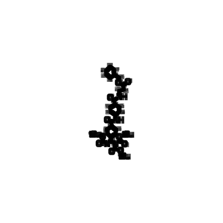 CC(C)(C)OC(=O)N=C(c1ccc(C(=O)Nc2ccc(C(=O)NCCC(=O)OCc3ccccc3)cc2)cc1)N(C(=O)OC(C)(C)C)C(=O)OC(C)(C)C